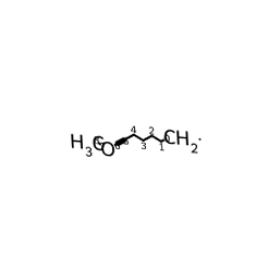 [CH2]CCCCC#COC